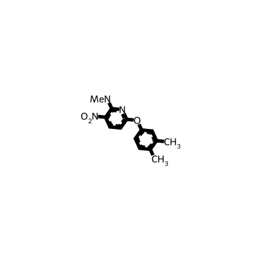 CNc1nc(Oc2ccc(C)c(C)c2)ccc1[N+](=O)[O-]